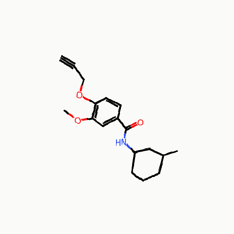 C#CCOc1ccc(C(=O)NC2CCCC(C)C2)cc1OC